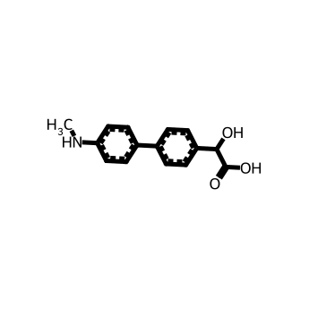 CNc1ccc(-c2ccc(C(O)C(=O)O)cc2)cc1